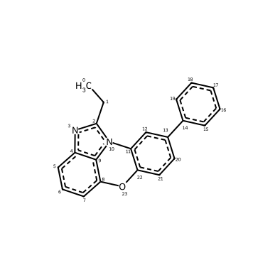 CCc1nc2cccc3c2n1-c1cc(-c2ccccc2)ccc1O3